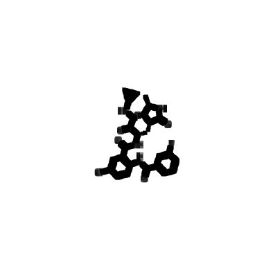 C[C@@H]1C[C@@H](C[C@H](NC(=O)c2cc(Cl)ccc2NC(=O)c2cccc(F)c2)C(=O)C(=O)NC2CC2)C(=O)N1